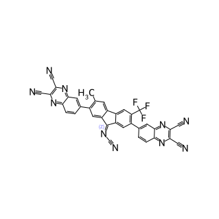 Cc1cc2c(cc1-c1ccc3nc(C#N)c(C#N)nc3c1)/C(=N/C#N)c1cc(-c3ccc4nc(C#N)c(C#N)nc4c3)c(C(F)(F)F)cc1-2